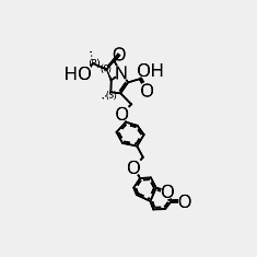 C[C@H]1C(COc2ccc(COc3ccc4ccc(=O)oc4c3)cc2)=C(C(=O)O)N2C(=O)[C@H]([C@@H](C)O)C12